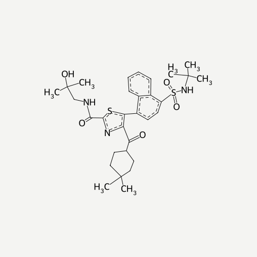 CC(C)(O)CNC(=O)c1nc(C(=O)C2CCC(C)(C)CC2)c(-c2ccc(S(=O)(=O)NC(C)(C)C)c3ccccc23)s1